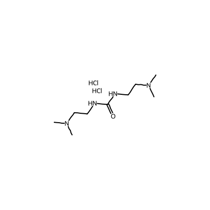 CN(C)CCNC(=O)NCCN(C)C.Cl.Cl